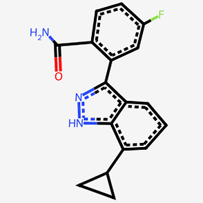 NC(=O)c1ccc(F)cc1-c1n[nH]c2c(C3CC3)cccc12